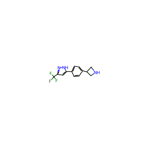 FC(F)(F)c1cc(-c2ccc(C3CNC3)cc2)[nH]n1